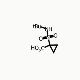 CC(C)(C)NS(=O)(=O)C1(C(=O)O)CC1